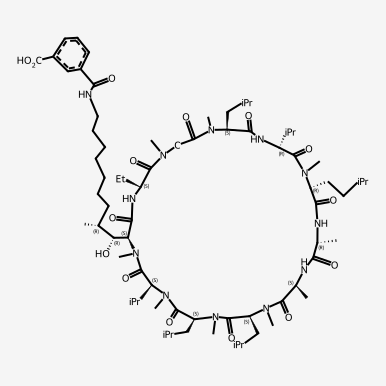 CC[C@@H]1NC(=O)[C@H]([C@H](O)[C@H](C)CCCCCCCNC(=O)c2cccc(C(=O)O)c2)N(C)C(=O)[C@H](C(C)C)N(C)C(=O)[C@H](CC(C)C)N(C)C(=O)[C@H](CC(C)C)N(C)C(=O)[C@H](C)NC(=O)[C@@H](C)NC(=O)[C@@H](CCC(C)C)N(C)C(=O)[C@@H](C(C)C)NC(=O)[C@H](CC(C)C)N(C)C(=O)CN(C)C1=O